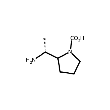 C[C@@H](N)C1CCCN1C(=O)O